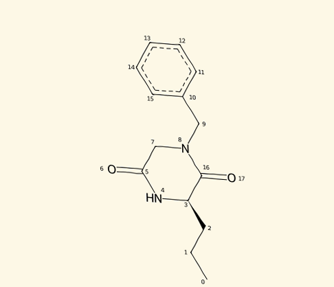 CCC[C@H]1NC(=O)CN(Cc2ccccc2)C1=O